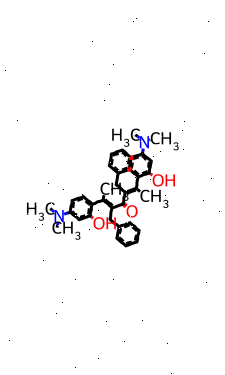 CC(=C(Cc1ccccc1)C(=O)C(Cc1ccccc1)=C(C)c1ccc(N(C)C)cc1O)c1ccc(N(C)C)cc1O